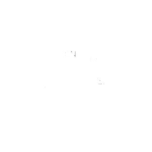 CC(=O)C(F)c1ccccc1C#N